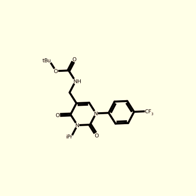 CC(C)n1c(=O)c(CNC(=O)OC(C)(C)C)cn(-c2ccc(C(F)(F)F)cc2)c1=O